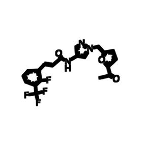 CC(=O)c1ccc(Cn2cc(NC(=O)/C=C/c3cccc(C(F)(F)F)c3F)cn2)o1